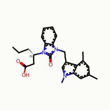 CCC[C@@H](CC(=O)O)n1c(=O)n(Cc2cn(C)c3cc(C)cc(C)c23)c2ccccc21